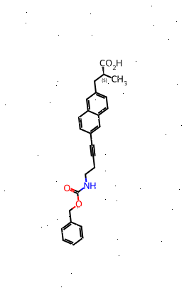 C[C@@H](Cc1ccc2cc(C#CCCNC(=O)OCc3ccccc3)ccc2c1)C(=O)O